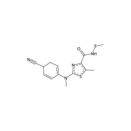 CSNC(=O)c1nc(N(C)C2=CCC(C#N)C=C2)sc1C